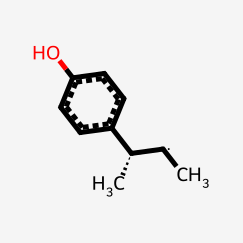 C[CH][C@H](C)c1ccc(O)cc1